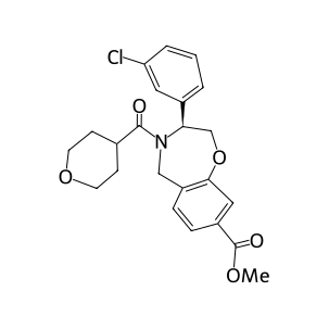 COC(=O)c1ccc2c(c1)OC[C@H](c1cccc(Cl)c1)N(C(=O)C1CCOCC1)C2